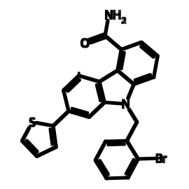 NC(=O)c1cccc2c1c1[c]cc(-c3cccs3)cc1n2Cc1ccccc1Br